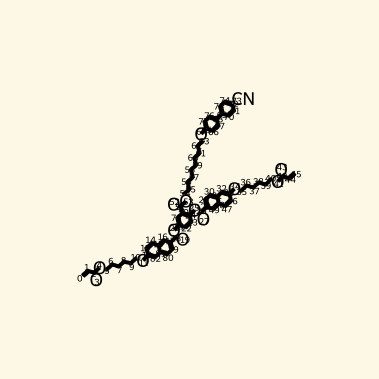 C=CC(=O)OCCCCCCOc1ccc2cc(C(=O)Oc3ccc(OC(=O)c4ccc5cc(OCCCCCCOC(=O)C=C)ccc5c4)c(C(=O)OCCCCCCCCCCOc4ccc(-c5ccc(C#N)cc5)cc4)c3)ccc2c1